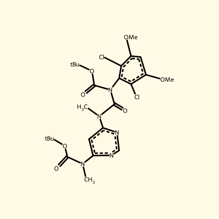 COc1cc(OC)c(Cl)c(N(C(=O)OC(C)(C)C)C(=O)N(C)c2cc(N(C)C(=O)OC(C)(C)C)ncn2)c1Cl